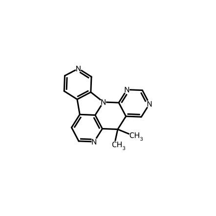 CC1(C)c2cncnc2-n2c3cnccc3c3ccnc1c32